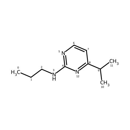 CCCNc1nccc(C(C)C)n1